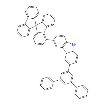 C1=CC2Nc3ccc(-c4cccc5c4-c4ccccc4C54c5ccccc5-c5ccccc54)cc3C2C=C1c1cc(-c2ccccc2)cc(-c2ccccc2)c1